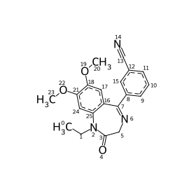 CCN1C(=O)CN=C(c2cccc(C#N)c2)c2cc(OC)c(OC)cc21